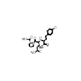 O=C(O)CC[C@H](NC(CCc1ccc(Cl)cc1)C(=O)O)C(=O)N1CCC[C@H]1C(=O)O